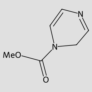 COC(=O)N1C=CN=CC1